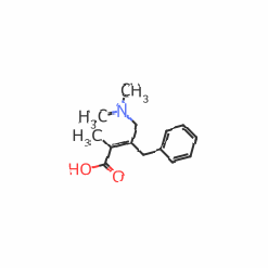 CC(C(=O)O)=C(Cc1ccccc1)CN(C)C